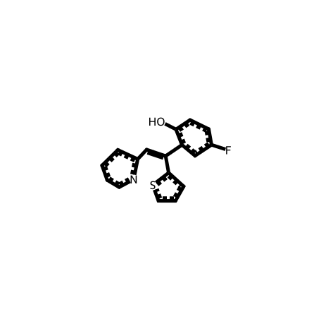 Oc1ccc(F)cc1C(=Cc1ccccn1)c1cccs1